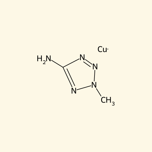 Cn1nnc(N)n1.[Cu]